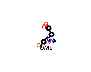 COC(=O)c1ccc(CN(C(=O)N2CCC2)c2cccc(-c3ccc4c(c3)OCO4)c2)cc1